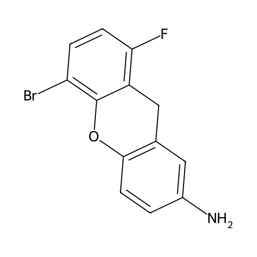 Nc1ccc2c(c1)Cc1c(F)ccc(Br)c1O2